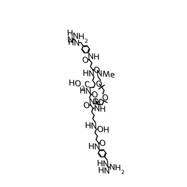 CNCCOC(C)(C)CCOC(C)(C)CC(=O)NC(CCCCNC(O)CCCC(=O)Nc1ccc(CNC(=N)N)cc1)C(=O)NCC(=O)NC(CCCCNC(=O)CCC(=O)Nc1ccc(CNC(=N)N)cc1)C(=O)O